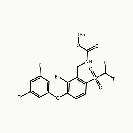 CC(C)(C)OC(=O)NCc1c(S(=O)(=O)C(F)F)ccc(Oc2cc(F)cc(Cl)c2)c1Br